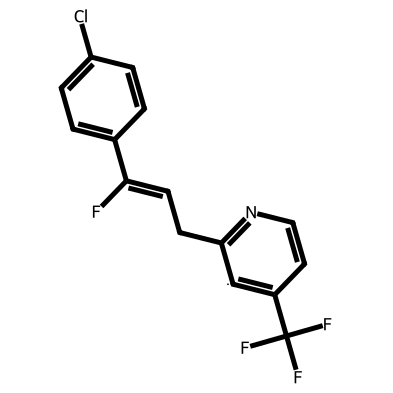 FC(=CCc1[c]c(C(F)(F)F)ccn1)c1ccc(Cl)cc1